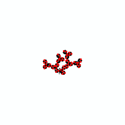 c1ccc(-n2c3ccccc3c3cc(-c4ccc5c(c4)c4cc(-c6ccc7c(c6)c6ccccc6n7-c6ccccc6)ccc4n5-c4cccc(-c5nc(-c6ccc7cc(-n8c9ccc(-c%10ccc%11c(c%10)c%10ccccc%10n%11-c%10ccccc%10)cc9c9cc(-c%10ccc%11c(c%10)c%10ccccc%10n%11-c%10ccccc%10)ccc98)ccc7c6)c6ccccc6n5)c4)ccc32)cc1